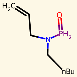 C=CCN(CCCCC)[PH2]=O